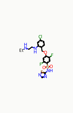 CCNCCNc1cc(Cl)ccc1COc1cc(F)c(S(=O)(=O)Nc2ncns2)cc1F